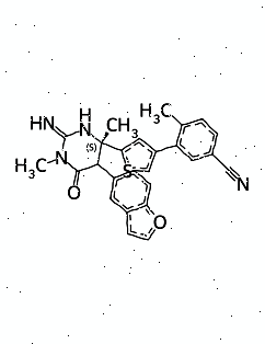 Cc1ccc(C#N)cc1-c1csc([C@@]2(C)NC(=N)N(C)C(=O)C2c2ccc3occc3c2)c1